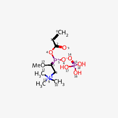 C=CC(=O)O/[P+]([O-])=C(/C[N+](C)(C)C)OC.O=P(O)(O)O